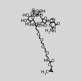 CC1=CC1COC(=O)NCCOCCOCCOCCOCCC(=O)NCC1O[C@H](OP(=O)(O)OP(=O)(O)OC[C@H]2O[C@@H](n3cnc4c(=O)[nH]c(N)nc43)C(O)C2O)C(O)C(O)[C@@H]1O